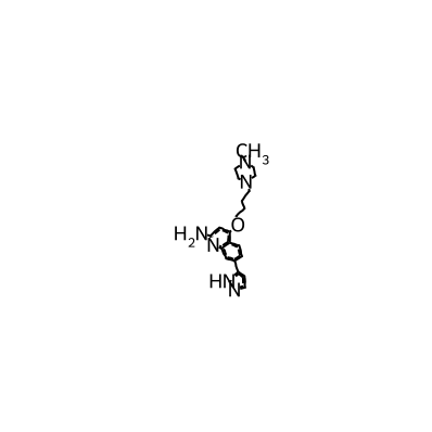 CN1CCN(CCCCOc2cc(N)nc3cc(-c4ccn[nH]4)ccc23)CC1